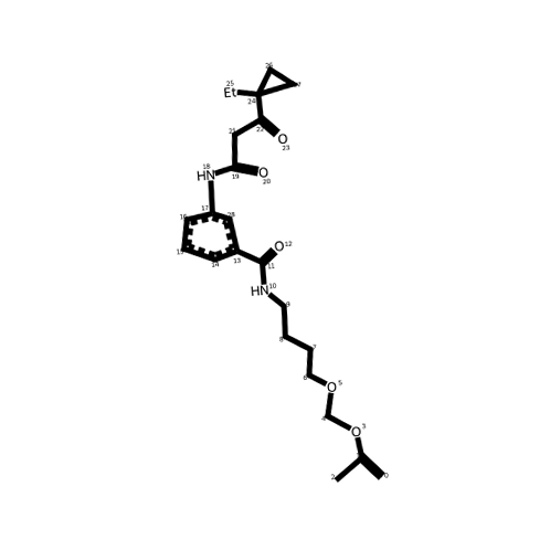 C=C(C)OCOCCCCNC(=O)c1cccc(NC(=O)CC(=O)C2(CC)CC2)c1